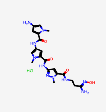 Cl.Cn1cc(N)cc1C(=O)Nc1cc(C(=O)Nc2cc(C(=O)NCCC(N)=NO)n(C)n2)n(C)c1